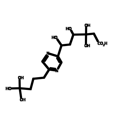 O=C(O)CC(O)(O)C(O)CC(O)c1cnc(CCCC(O)(O)O)cn1